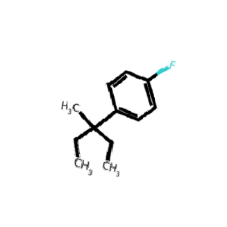 CCC(C)(CC)c1ccc(F)cc1